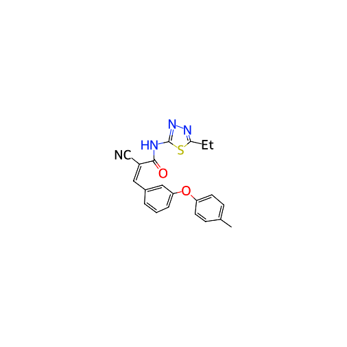 CCc1nnc(NC(=O)C(C#N)=Cc2cccc(Oc3ccc(C)cc3)c2)s1